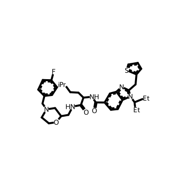 CCC(CC)n1c(Cc2cccs2)nc2cc(C(=O)NC(CCC(C)C)C(=O)NCC3CN(Cc4ccc(F)cc4)CCO3)ccc21